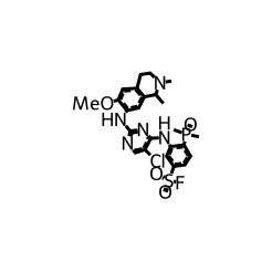 COc1cc2c(cc1Nc1ncc(Cl)c(Nc3cc(S(=O)(=O)F)ccc3P(C)(C)=O)n1)C(C)N(C)CC2